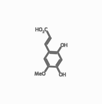 COc1cc(C=CC(=O)O)c(O)cc1O